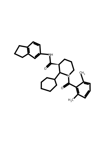 Cc1cccc(C)c1C(=O)N1CCC[C@H](C(=O)Nc2ccc3c(c2)CCC3)C1C1CCCCC1